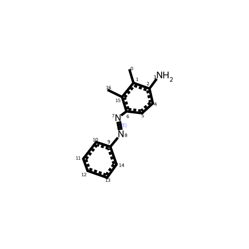 Cc1c(N)ccc(/N=N/c2ccccc2)c1C